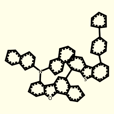 c1ccc(-c2ccc(-c3cccc4sc5c(-c6cc7c(oc8cccc(N(c9ccc%10ccccc%10c9)c9ccc%10ccccc%10c9)c87)c7ccccc67)cccc5c34)cc2)cc1